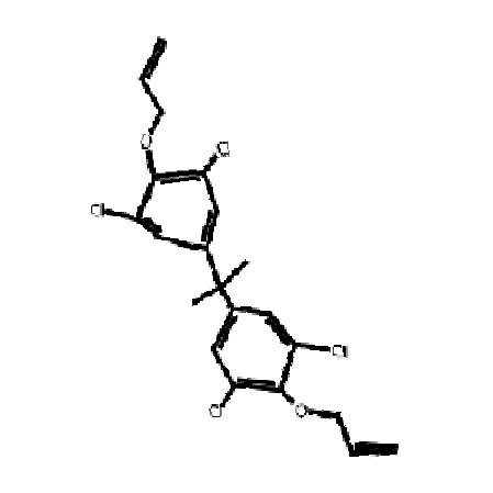 C=CCOc1c(Cl)cc(C(C)(C)c2cc(Cl)c(OCC=C)c(Cl)c2)cc1Cl